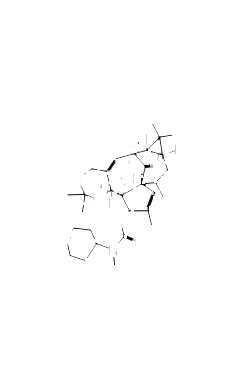 CC1=CC23C(=O)[C@@H](C=C4COC(C)(C)O[C@H]4[C@]2(O)[C@H]1OC(=O)N(C)C1CCOCC1)[C@H]1[C@@H](CC3C)C1(C)C